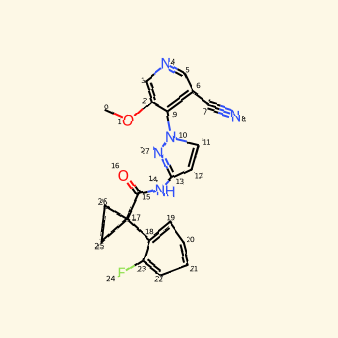 COc1cncc(C#N)c1-n1ccc(NC(=O)C2(c3ccccc3F)CC2)n1